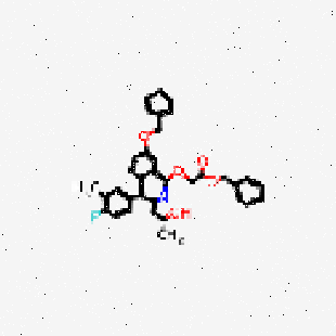 Cc1cc(-c2c(C[C@H](C)O)nc(OCC(=O)OCc3ccccc3)c3cc(OCc4ccccc4)ccc23)ccc1F